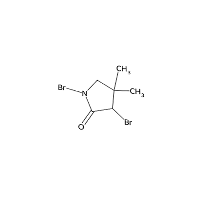 CC1(C)CN(Br)C(=O)C1Br